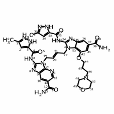 Cc1cc(C(=O)Nc2nc3cc(C(N)=O)cnc3n2CC=CCn2c(NC(=O)c3cc(C)n[nH]3)nc3cc(C(N)=O)cc(OCCCN4CCOCC4)c32)[nH]n1